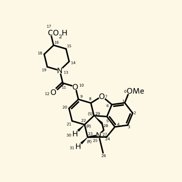 COc1ccc2c3c1OC1C(OC(=O)N4CCC(C(=O)O)CC4)=CC[C@H]4[C@@H](C2)N(C)CC[C@]314